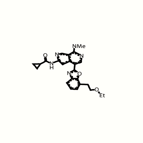 CCOCCc1cccc2nc(-c3cnc(NC)c4cnc(NC(=O)C5CC5)cc34)oc12